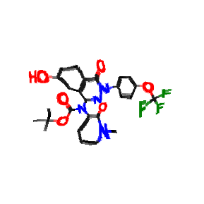 Cn1cccc(N(C(=O)OC(C)(C)C)c2nn(-c3ccc(OC(F)(F)F)cc3)c(=O)c3ccc(O)cc23)c1=O